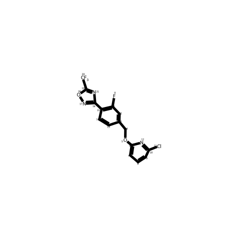 Fc1cc(COc2cccc(Cl)n2)ccc1-c1noc(C(F)(F)F)n1